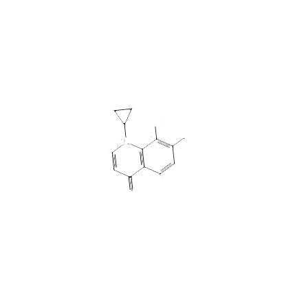 O=c1ccn(C2CC2)c2c(O)c(F)ccc12